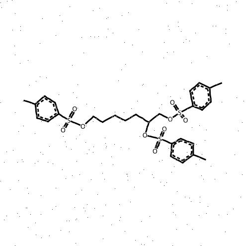 Cc1ccc(S(=O)(=O)OCCCCCC(COS(=O)(=O)c2ccc(C)cc2)OS(=O)(=O)c2ccc(C)cc2)cc1